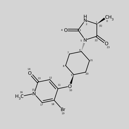 C[C@@H]1NC(=O)N([C@H]2CC[C@H](Oc3cc(=O)n(C)cc3Br)CC2)C1=O